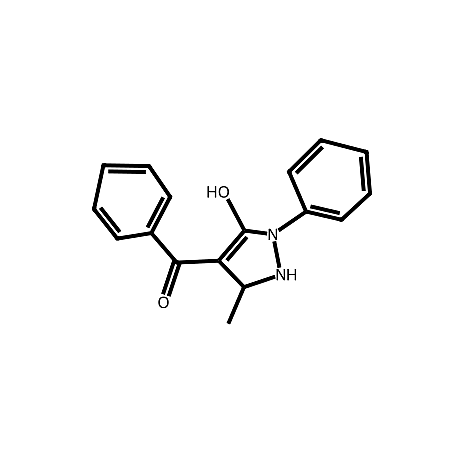 CC1NN(c2ccccc2)C(O)=C1C(=O)c1ccccc1